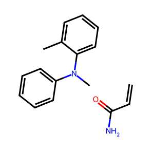 C=CC(N)=O.Cc1ccccc1N(C)c1ccccc1